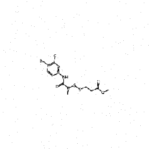 COC(=O)CCSSN(C)C(=O)Nc1ccc(Br)c(Cl)c1